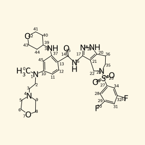 CN(CCN1CCOCC1)c1ccc(C(=O)Nc2n[nH]c3c2CN(S(=O)(=O)c2cc(F)cc(F)c2)CC3)c(NC2CCOCC2)c1